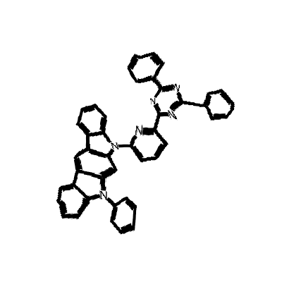 c1ccc(-c2nc(-c3ccccc3)nc(-c3cccc(-n4c5ccccc5c5cc6c7ccccc7n(-c7ccccc7)c6cc54)n3)n2)cc1